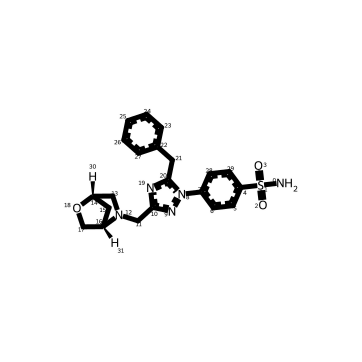 NS(=O)(=O)c1ccc(-n2nc(CN3C[C@@H]4C[C@H]3CO4)nc2Cc2ccccc2)cc1